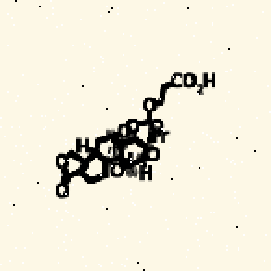 CC(C)[C@]12O[C@H]1[C@@H]1O[C@]13[C@]1(O[C@H]1C[C@H]1C4=C(CC[C@@]13C)C(=O)OC4)[C@@H]2OC(=O)OCCC(=O)O